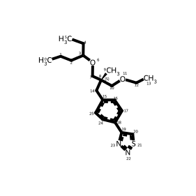 CCCC(CC)OC[C@](C)(COCC)Cc1ccc(-c2csnn2)cc1